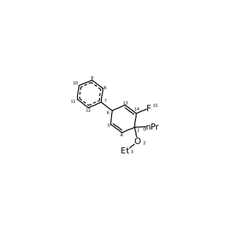 CCCC1(OCC)C=CC(c2ccccc2)C=C1F